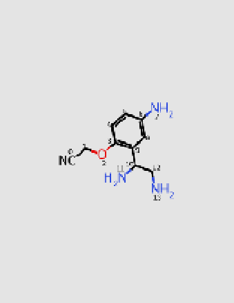 N#CCOc1ccc(N)cc1C(N)CN